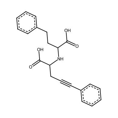 O=C(O)C(CC#Cc1ccccc1)NC(CCc1ccccc1)C(=O)O